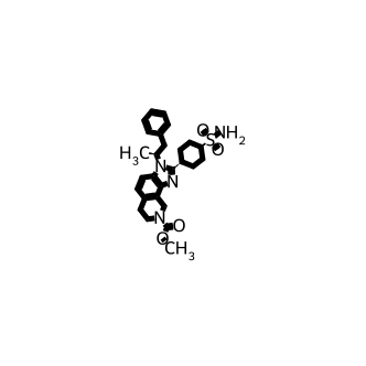 COC(=O)N1CCc2ccc3c(nc([C@H]4CC[C@@H](S(N)(=O)=O)CC4)n3[C@H](C)Cc3ccccc3)c2C1